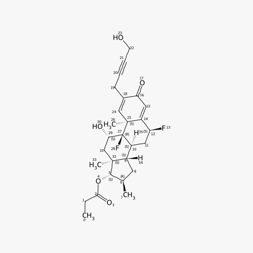 CCC(=O)O[C@H]1[C@H](C)C[C@H]2[C@@H]3C[C@H](F)C4=CC(=O)C(CC#CCO)=C[C@]4(C)[C@@]3(F)[C@@H](O)C[C@@]21C